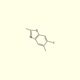 Cc1nc2cc(C)c(I)cc2s1